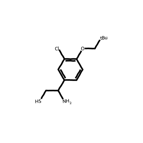 CC(C)(C)COc1ccc(C(N)CS)cc1Cl